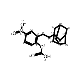 O=C(O)Oc1ccc([N+](=O)[O-])cc1CCC12CC3CC(CC(C3)C1)C2